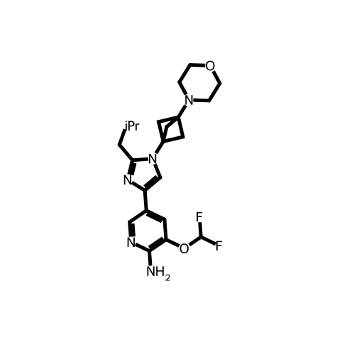 CC(C)Cc1nc(-c2cnc(N)c(OC(F)F)c2)cn1C12CC(N3CCOCC3)(C1)C2